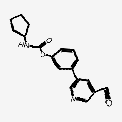 O=Cc1cncc(-c2cccc(OC(=O)NC3CCCC3)c2)c1